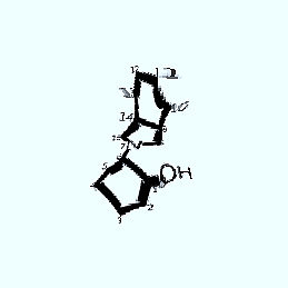 Oc1ccccc1-n1cc2ccccc2c1